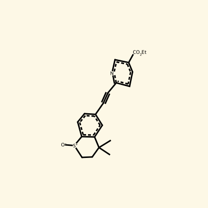 CCOC(=O)c1ccc(C#Cc2ccc3c(c2)C(C)(C)CC[S+]3[O-])nc1